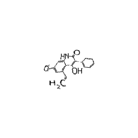 C=Cc1cc(Cl)cc2[nH]c(=O)c(-c3ccccc3)c(O)c12